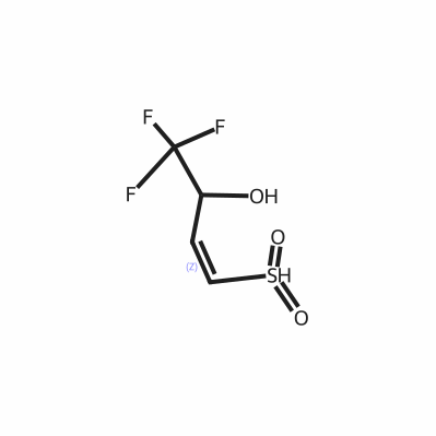 O=[SH](=O)/C=C\C(O)C(F)(F)F